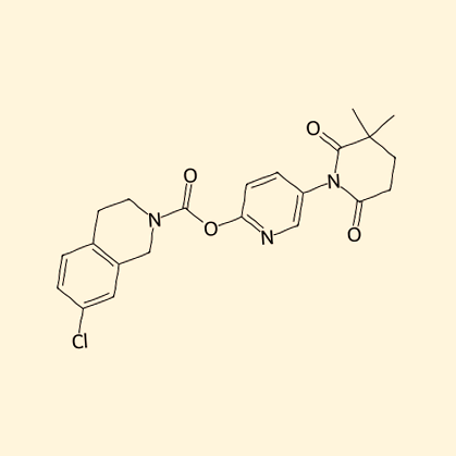 CC1(C)CCC(=O)N(c2ccc(OC(=O)N3CCc4ccc(Cl)cc4C3)nc2)C1=O